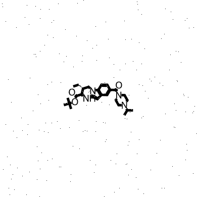 CC[C@H](Cn1ccc2cc(C(=O)N3CCN(C(C)C)CC3)ccc21)C(=N)C(=O)OC(C)(C)C